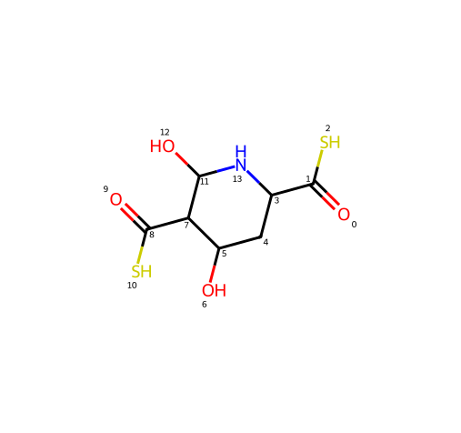 O=C(S)C1CC(O)C(C(=O)S)C(O)N1